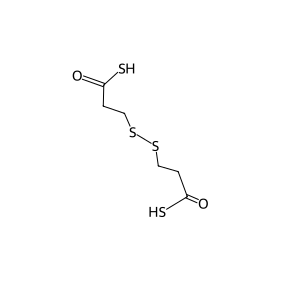 O=C(S)CCSSCCC(=O)S